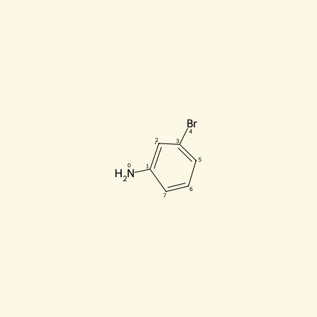 Nc1[c]c(Br)ccc1